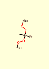 CC[Si](C)(OOC(C)(C)C)OOC(C)(C)C